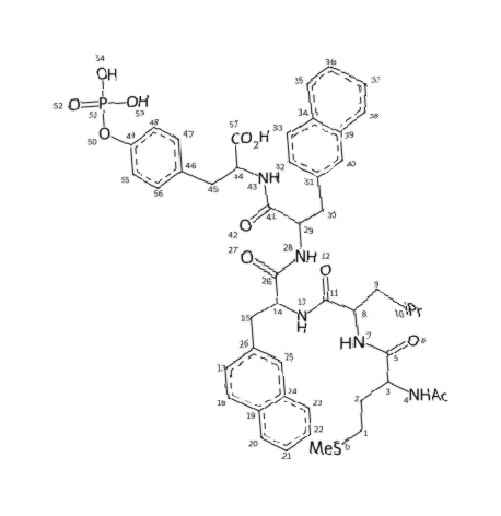 CSCCC(NC(C)=O)C(=O)NC(CC(C)C)C(=O)NC(Cc1ccc2ccccc2c1)C(=O)NC(Cc1ccc2ccccc2c1)C(=O)NC(Cc1ccc(OP(=O)(O)O)cc1)C(=O)O